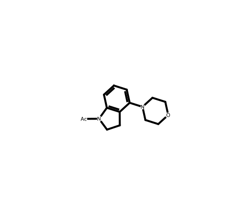 CC(=O)N1CCc2c(N3CCOCC3)c[c]cc21